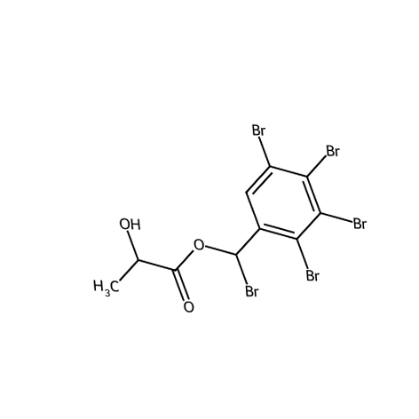 CC(O)C(=O)OC(Br)c1cc(Br)c(Br)c(Br)c1Br